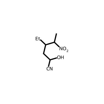 CCC(CC(O)C#N)C(C)[N+](=O)[O-]